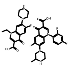 CC1CN(c2cc3c(cc2F)c(=O)c(C(=O)O)cn3-c2ccc(F)cc2F)CCN1.CCn1cc(C(=O)O)c(=O)c2cc(F)c(N3CCNCC3)cc21